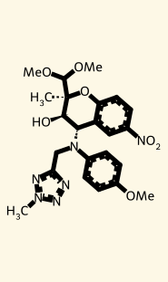 COc1ccc(N(Cc2nnn(C)n2)[C@H]2c3cc([N+](=O)[O-])ccc3O[C@](C)(C(OC)OC)[C@@H]2O)cc1